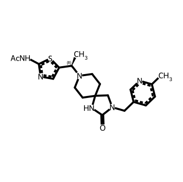 CC(=O)Nc1ncc([C@@H](C)N2CCC3(CC2)CN(Cc2ccc(C)nc2)C(=O)N3)s1